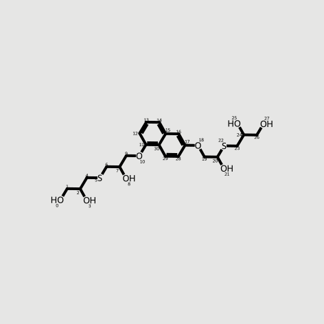 OCC(O)CSCC(O)COc1cccc2cc(OCC(O)SCC(O)CO)ccc12